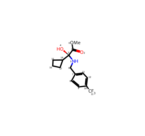 COC(=O)[C@](O)(NCc1ccc(C(F)(F)F)cc1)C1CCC1